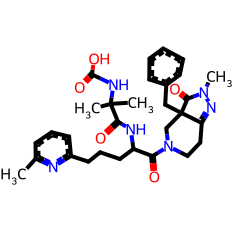 Cc1cccc(CCCC(NC(=O)C(C)(C)NC(=O)O)C(=O)N2CCC3=NN(C)C(=O)C3(Cc3ccccc3)C2)n1